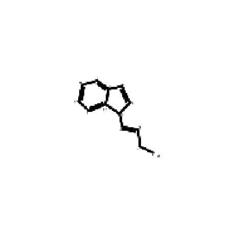 FCC=CC1C=[C]c2ccccc21